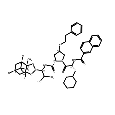 CC(C)[C@H](NC(=O)[C@@H]1C[C@@H](SCCc2ccccc2)CN1C(=O)[C@@H](CC1CCCCC1)NC(=O)c1ccc2ccccc2c1)B1O[C@@H]2C[C@@H]3C[C@@H](C3(C)C)[C@]2(C)O1